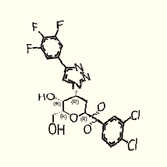 O=S(=O)(c1ccc(Cl)c(Cl)c1)[C@@H]1C[C@@H](n2cc(-c3cc(F)c(F)c(F)c3)nn2)[C@@H](O)[C@@H](CO)O1